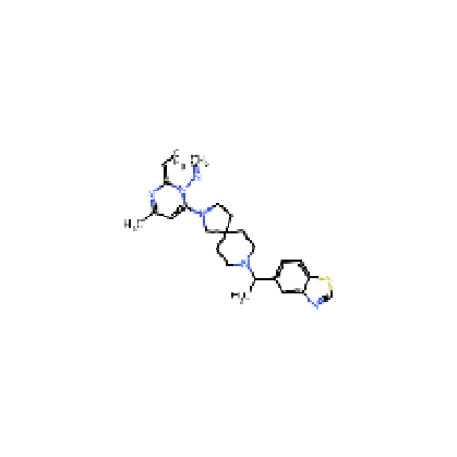 C=NN1C(N2CCC3(CCN(C(C)c4ccc5scnc5c4)CC3)C2)=CC(C)=N/C1=C/C